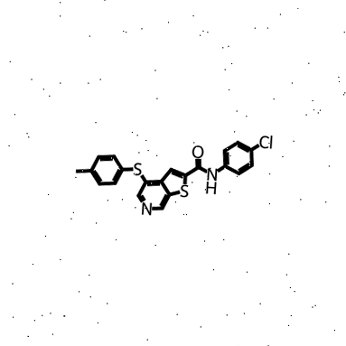 Cc1ccc(Sc2cncc3sc(C(=O)Nc4ccc(Cl)cc4)cc23)cc1